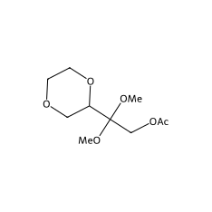 COC(COC(C)=O)(OC)C1COCCO1